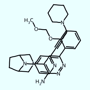 COCOc1ccccc1-c1cc(N2CC3CCC(C2)N3c2ccnc(C#CCN3CCCCC3)c2)c(N)nn1